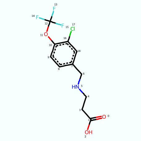 O=C(O)CCNCc1ccc(OC(F)(F)F)c(Cl)c1